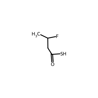 CC(F)CC(=O)S